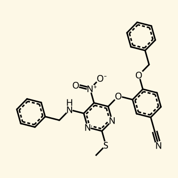 CSc1nc(NCc2ccccc2)c([N+](=O)[O-])c(Oc2cc(C#N)ccc2OCc2ccccc2)n1